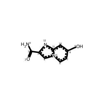 NC(=O)c1cn2ccc(O)cc2n1